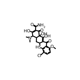 COc1ccc(Cl)c2c1C(=O)C1=C(O)C3(O)C(=O)C(C(N)=O)=C(O)C(N(C)C)C3CC1[SH]2